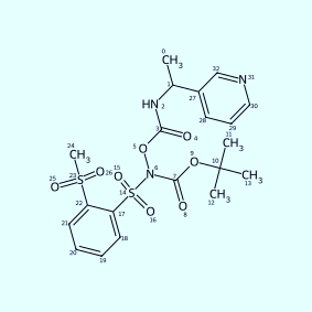 CC(NC(=O)ON(C(=O)OC(C)(C)C)S(=O)(=O)c1ccccc1S(C)(=O)=O)c1cccnc1